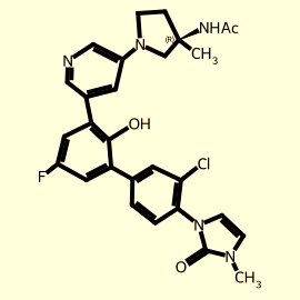 CC(=O)N[C@]1(C)CCN(c2cncc(-c3cc(F)cc(-c4ccc(-n5ccn(C)c5=O)c(Cl)c4)c3O)c2)C1